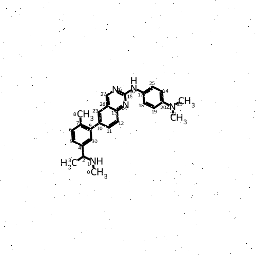 CNC(C)c1ccc(C)c(-c2ccc3nc(Nc4ccc(N(C)C)cc4)ncc3c2)c1